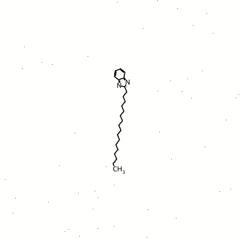 CCCCCCCCCCCCCCCCC[C]1N=c2ccccc2=N1